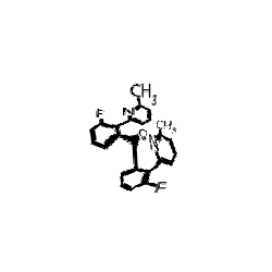 Cc1cccc(-c2c(F)cccc2C(=O)c2cccc(F)c2-c2cccc(C)n2)n1